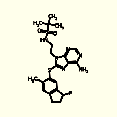 Cc1cc2c(cc1Sc1nc3c(N)ncnc3n1CCNS(=O)(=O)C(C)(C)C)C(F)CC2